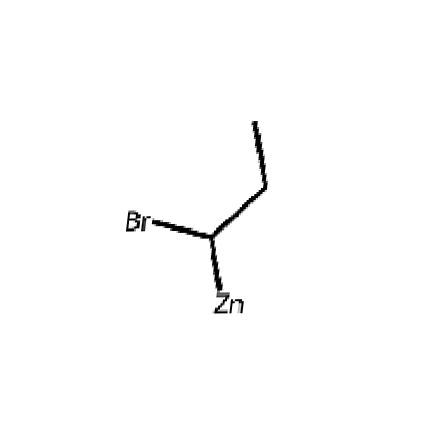 CC[CH]([Zn])Br